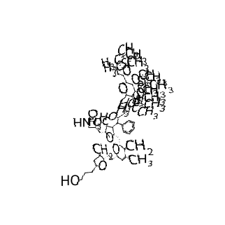 C=C1C[C@H](CCCO)O[C@H]1CC[C@H]1C[C@@H](C)C(=C)[C@@H](C[C@@H]2O[C@H](C[C@H]3CNC(=O)O3)[C@H](C)[C@H]2C(c2ccccc2)C(O)CC2CCC3O[C@@H]([C@H](/C=C/I)O[Si](C)(C)C(C)(C)C)[C@@H](O[Si](C)(C)C(C)(C)C)[C@@H](O[Si](C)(C)C(C)(C)C)[C@H]3O2)O1